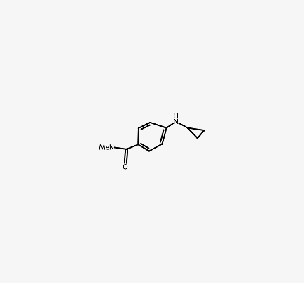 CNC(=O)c1ccc(NC2CC2)cc1